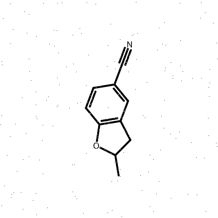 CC1Cc2cc(C#N)ccc2O1